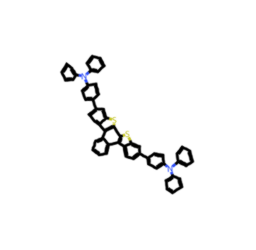 c1ccc(N(c2ccccc2)c2ccc(-c3ccc4c(c3)sc3c5sc6cc(-c7ccc(N(c8ccccc8)c8ccccc8)cc7)ccc6c5c5ccccc5c43)cc2)cc1